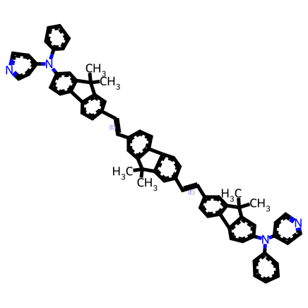 CC1(C)c2cc(/C=C/c3ccc4c(c3)C(C)(C)c3cc(N(c5ccccc5)c5ccncc5)ccc3-4)ccc2-c2ccc(/C=C/c3ccc4c(c3)C(C)(C)c3cc(N(c5ccccc5)c5ccncc5)ccc3-4)cc21